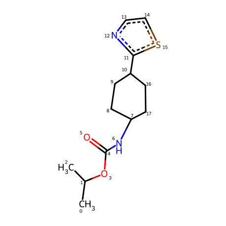 CC(C)OC(=O)NC1CCC(c2nccs2)CC1